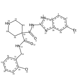 CCc1ccc2[nH]c(NC(=O)C3(C(=O)NCc4ccccc4Cl)CCNCC3)nc2c1